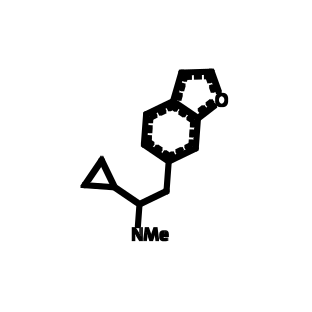 CNC(Cc1ccc2ccoc2c1)C1CC1